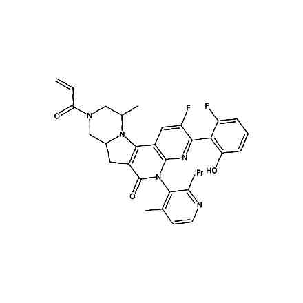 C=CC(=O)N1CC(C)N2c3c(c(=O)n(-c4c(C)ccnc4C(C)C)c4nc(-c5c(O)cccc5F)c(F)cc34)CC2C1